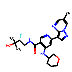 CC(C)(O)[C@H](F)CNC(=O)c1cnc(-c2cnn3cc(C#N)cnc23)cc1NC1CCCOC1